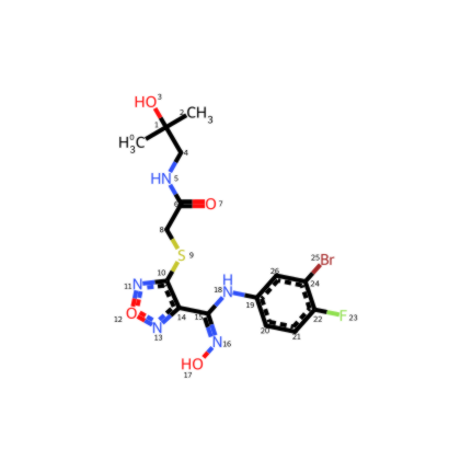 CC(C)(O)CNC(=O)CSc1nonc1/C(=N\O)Nc1ccc(F)c(Br)c1